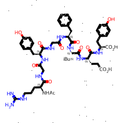 CC[C@H](C)[C@H](NC(=O)[C@H](Cc1ccccc1)NC(=O)CNC(=O)[C@H](Cc1ccc(O)cc1)NC(=O)CNC(=O)[C@H](CCCNC(=N)N)NC(C)=O)C(=O)N[C@@H](CCC(=O)O)C(=O)N[C@@H](Cc1ccc(O)cc1)C(=O)O